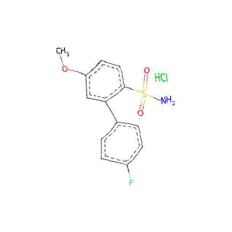 COc1ccc(S(N)(=O)=O)c(-c2ccc(F)cc2)c1.Cl